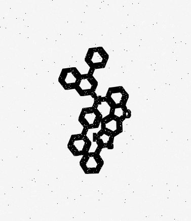 c1ccc(-c2ccc(N(c3cc(-c4ccccc4)c4ccccc4c3)c3cccc4oc5cc6sc(-c7ccccc7)nc6cc5c34)cc2)cc1